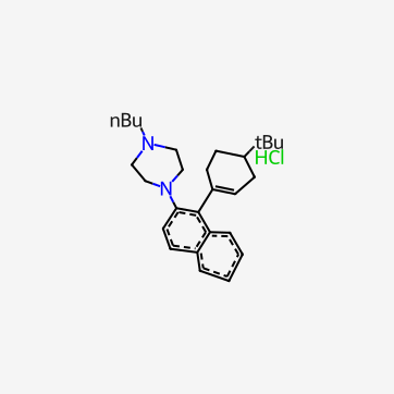 CCCCN1CCN(c2ccc3ccccc3c2C2=CCC(C(C)(C)C)CC2)CC1.Cl